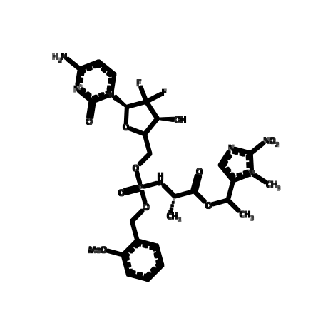 COc1ccccc1COP(=O)(N[C@@H](C)C(=O)OC(C)c1cnc([N+](=O)[O-])n1C)OCC1O[C@@H](n2ccc(N)nc2=O)C(F)(F)[C@H]1O